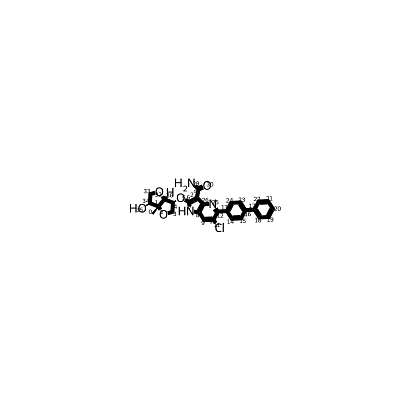 C[C@]12OC[C@@H](Oc3[nH]c4cc(Cl)c(-c5ccc(-c6ccccc6)cc5)nc4c3C(N)=O)[C@H]1OC[C@H]2O